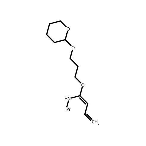 C=C/C=C(\NC(C)C)OCCCOC1CCCCO1